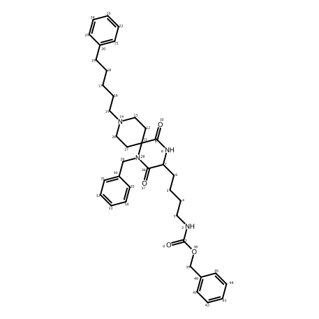 O=C(NCCCCC1NC(=O)C2(CCN(CCCCCc3ccccc3)CC2)N(Cc2ccccc2)C1=O)OCc1ccccc1